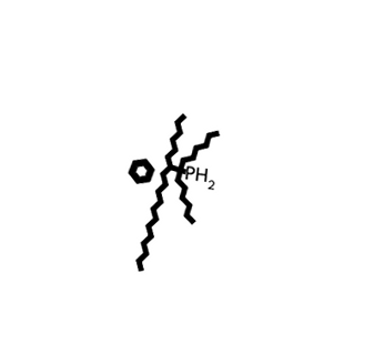 CCCCCCCCCCCCC(CCCCCC)C(P)(CCCCCC)CCCCCC.c1ccccc1